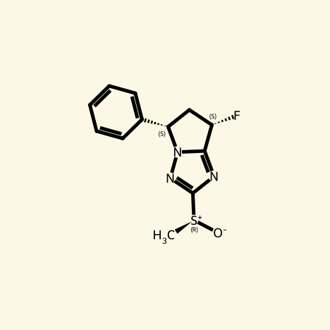 C[S@+]([O-])c1nc2n(n1)[C@H](c1ccccc1)C[C@@H]2F